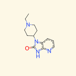 CCN1CCC(n2c(=O)[nH]c3ncccc32)CC1